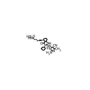 CC[C@H](Nc1nc(N)nc(C)c1C#N)c1nc2cccc(C#CCCCC(=O)NO)c2c(=O)n1-c1ccccc1